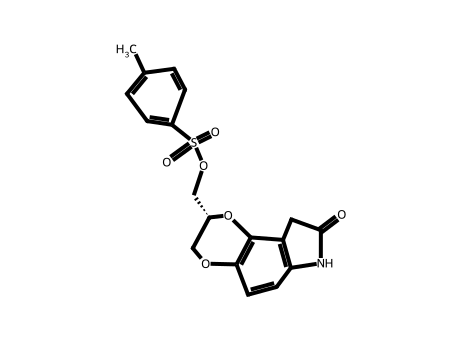 Cc1ccc(S(=O)(=O)OC[C@H]2COc3ccc4c(c3O2)CC(=O)N4)cc1